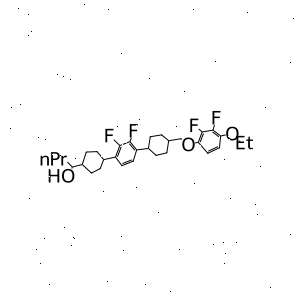 CCCC(O)C1CCC(c2ccc(C3CCC(COc4ccc(OCC)c(F)c4F)CC3)c(F)c2F)CC1